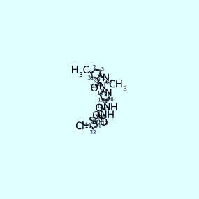 Cc1ccc2nc(C)n(-c3ccc(NC(=O)NS(=O)(=O)c4ccc(Cl)s4)cn3)c(=O)c2c1